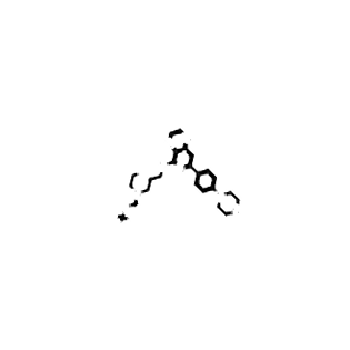 CC(C)(C)OC(=O)N1CCOC(CNc2nc(-c3ccc(N4CCNCC4)cc3)cc3nccnc23)C1